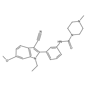 CCn1c(-c2cccc(NC(=O)N3CCN(C)CC3)c2)c(C#N)c2ccc(OC)cc21